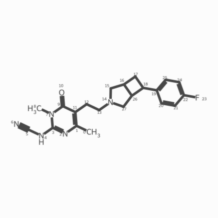 Cc1nc(NC#N)n(C)c(=O)c1CCN1CC2CC(c3ccc(F)cc3)C2C1